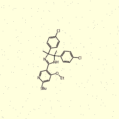 CCOc1cc(C(C)(C)C)ncc1C1=NC(C)(c2ccc(Cl)cc2)C(C)(c2ccc(Cl)cc2)N1